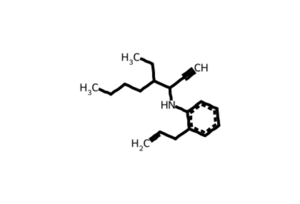 C#CC(Nc1ccccc1CC=C)C(CC)CCCC